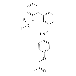 O=C(O)COc1ccc(NCc2cccc(-c3ccccc3OC(F)(F)F)c2)cc1